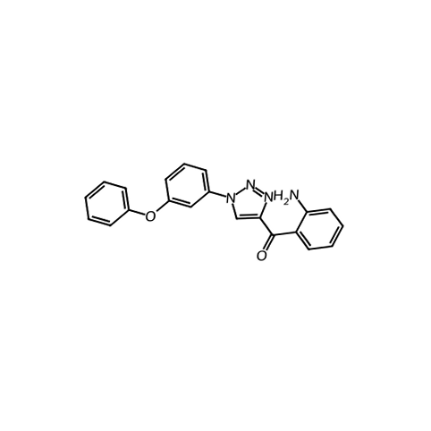 Nc1ccccc1C(=O)c1cn(-c2cccc(Oc3ccccc3)c2)nn1